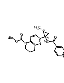 C[C@@H]1C[C@]1(NC(=O)c1ccc(F)cc1)c1ccc2c(n1)CCCN2C(=O)OC(C)(C)C